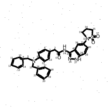 O=C(Cc1ccc(N(Cc2ccccc2)Cc2ccccc2)cc1)Nc1n[nH]c2ccc(N3CCCS3(=O)=O)cc12